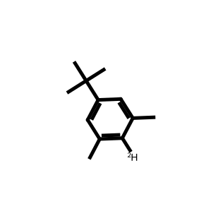 [2H]c1c(C)cc(C(C)(C)C)cc1C